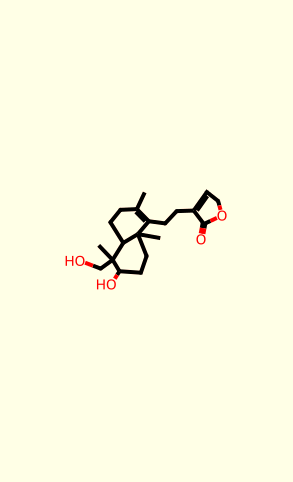 CC1=C(CCC2=CCOC2=O)C2(C)CCC(O)C(C)(CO)C2CC1